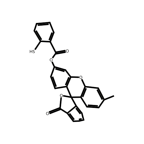 Cc1ccc2c(c1)Oc1cc(OC(=O)c3ccccc3S)ccc1C21OC(=O)c2ccccc21